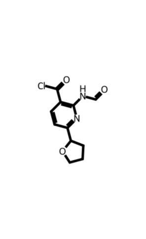 O=CNc1nc(C2CCCO2)ccc1C(=O)Cl